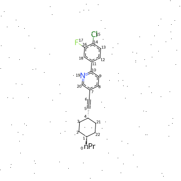 CCC[C@H]1CC[C@H](C#Cc2ccc(-c3ccc(Cl)c(F)c3)nc2)CC1